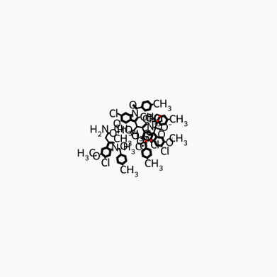 COc1cc2c(CC(N)=O)c(C)n(C(=O)c3ccc(C)cc3)c2cc1Cl.COc1cc2c(cc1Cl)[N+](C(=O)c1ccc(C)cc1)(C(C(=O)[O-])(c1c(C)n(C(=O)c3ccc(C)cc3)c3cc(Cl)c(OC)cc13)C1CCCC1)C(C)=C2C(C(=O)O)c1c(C)n(C(=O)c2ccc(C)cc2)c2cc(Cl)c(OC)cc12